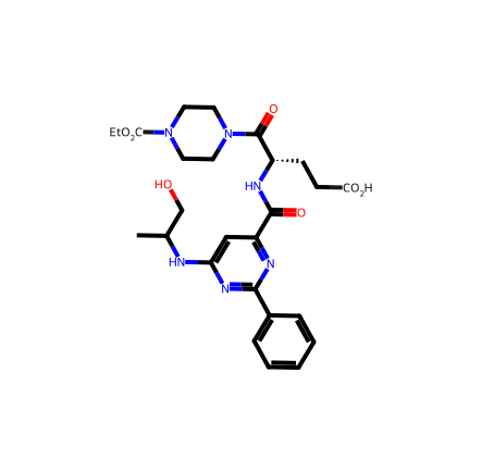 CCOC(=O)N1CCN(C(=O)[C@H](CCC(=O)O)NC(=O)c2cc(NC(C)CO)nc(-c3ccccc3)n2)CC1